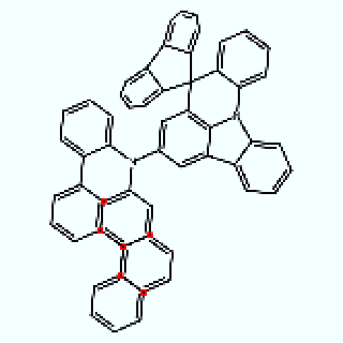 c1ccc(-c2ccc(N(c3cc4c5c(c3)c3ccccc3n5-c3ccccc3C43c4ccccc4-c4ccccc43)c3ccccc3-c3cccc(-c4ccccc4)c3)cc2)cc1